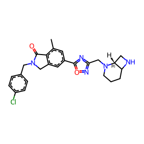 Cc1cc(-c2nc(CN3CCCC4NC[C@H]43)no2)cc2c1C(=O)N(Cc1ccc(Cl)cc1)C2